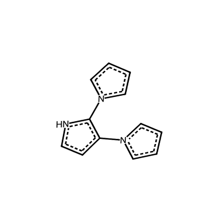 c1ccn(-c2cc[nH]c2-n2cccc2)c1